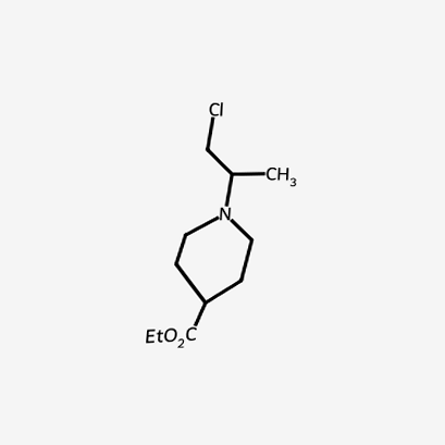 CCOC(=O)C1CCN(C(C)CCl)CC1